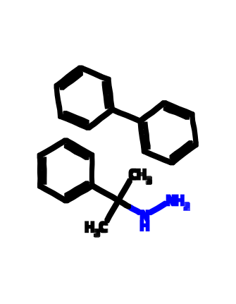 CC(C)(NN)c1ccccc1.c1ccc(-c2ccccc2)cc1